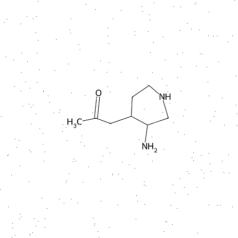 CC(=O)CC1CCNCC1N